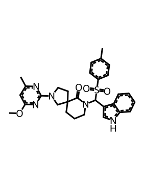 COc1cc(C)nc(N2CCC3(CCCN(C(c4c[nH]c5ccccc45)S(=O)(=O)c4ccc(C)cc4)C3=O)C2)n1